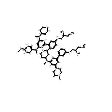 CNCC(O)COc1cccc(-c2nc(N3CCN(C)CC3)cc(N(C)C3CCOC(c4ccc(OCC(O)CNC)cc4-c4nc(N(C)c5cnc(OC)nc5)cc(N(C)C5CCOCC5)n4)C3)n2)c1